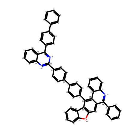 c1ccc(-c2ccc(-c3nc(-c4ccc(-c5ccc(-c6c7c(cc8c(-c9ccccc9)nc9ccccc9c68)oc6ccccc67)cc5)cc4)nc4ccccc34)cc2)cc1